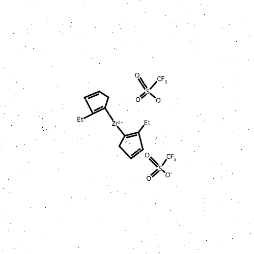 CCC1=[C]([Zr+2][C]2=C(CC)C=CC2)CC=C1.O=S(=O)([O-])C(F)(F)F.O=S(=O)([O-])C(F)(F)F